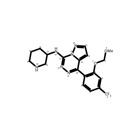 COCOc1cc(C(F)(F)F)ccc1-c1nnc(NC2CCCNC2)n2nccc12